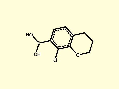 OB(O)c1ccc2c(c1Cl)OCCC2